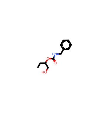 CCC(CO)OC(=O)NCc1ccccc1